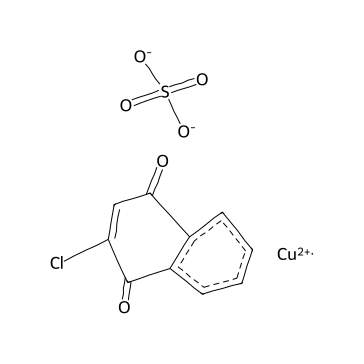 O=C1C=C(Cl)C(=O)c2ccccc21.O=S(=O)([O-])[O-].[Cu+2]